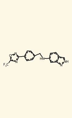 FC(F)(F)c1nc(-c2ccc(CNc3ccc4c[nH]nc4c3)cc2)no1